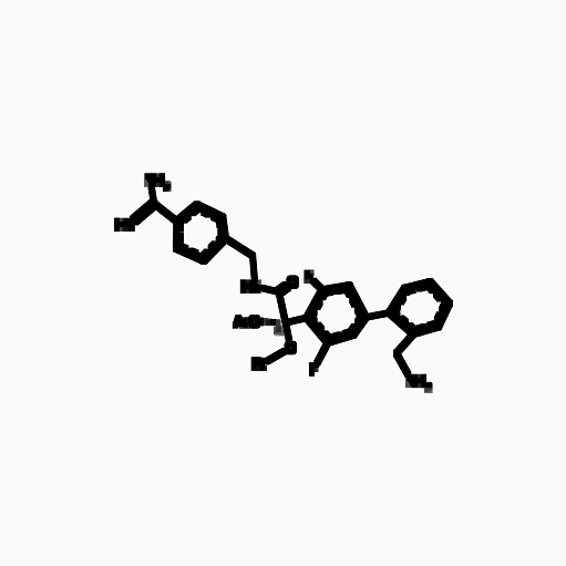 CCO[C@@](OC(C)=O)(C(=O)NCc1ccc(C(=N)N)cc1)c1c(F)cc(-c2ccccc2CN)cc1F